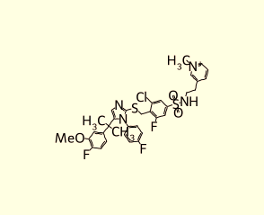 COc1cc(C(C)(C)c2cnc(SCc3c(F)cc(S(=O)(=O)NCCc4ccc[n+](C)c4)cc3Cl)n2-c2ccc(F)cc2)ccc1F